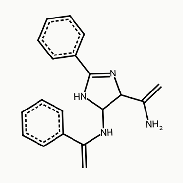 C=C(NC1NC(c2ccccc2)=NC1C(=C)N)c1ccccc1